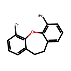 CC(C)c1cccc2c1Oc1c(cccc1C(C)C)CC2